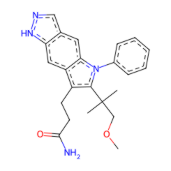 COCC(C)(C)c1c(CCC(N)=O)c2cc3[nH]ncc3cc2n1-c1ccccc1